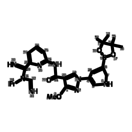 COc1nn(C2=CNCC(B3OC(C)(C)C(C)(C)O3)=C2)cc1C(=O)Nc1cccc(C(=N)N(C=N)C(C)C)n1